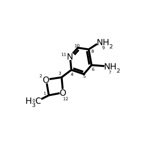 CC1OC(c2cc(N)c(N)cn2)O1